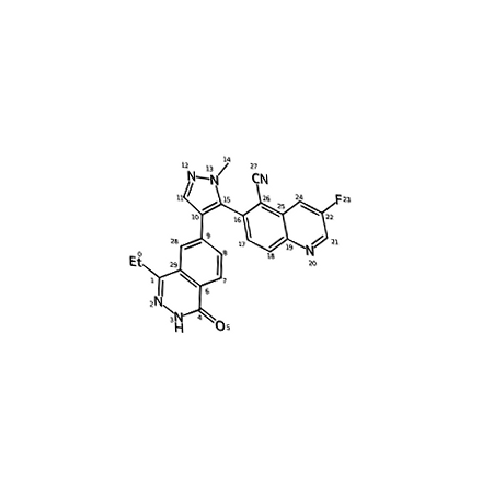 CCc1n[nH]c(=O)c2ccc(-c3cnn(C)c3-c3ccc4ncc(F)cc4c3C#N)cc12